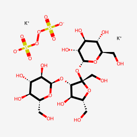 O=S(=O)([O-])OOS(=O)(=O)[O-].OC[C@H]1O[C@@](CO)(O[C@H]2O[C@H](CO)[C@@H](O)[C@H](O)[C@H]2O)[C@@H](O[C@H]2O[C@H](CO)[C@@H](O)[C@H](O)[C@H]2O)[C@@H]1O.[K+].[K+]